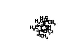 C=CC(/C(NC)=C(\C)C(C)C)=C(C)\C=C/C